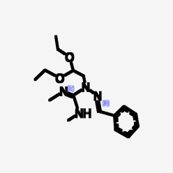 CCOC(CN(/N=C/c1ccccc1)/C(=N/C)NC)OCC